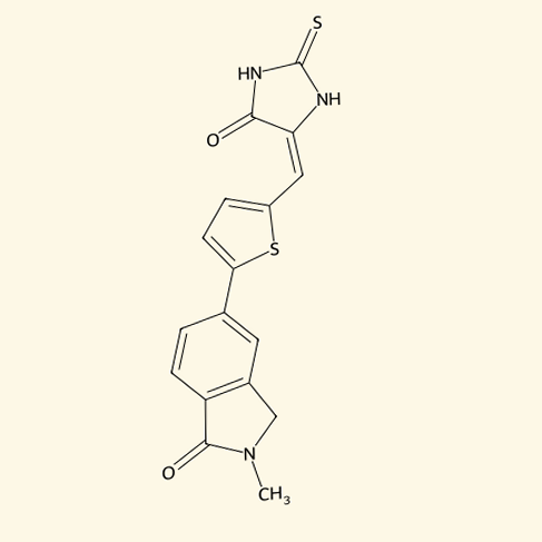 CN1Cc2cc(-c3ccc(/C=C4/NC(=S)NC4=O)s3)ccc2C1=O